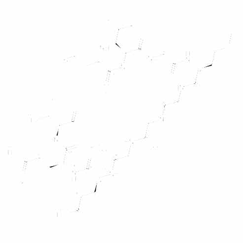 CSCC[C@H](NC(=O)CNC(=O)[C@H](CC(C)C)NC(=O)[C@@H](N)CCSC)C(=O)NCC(=O)NCC(=O)NCC(=O)N[C@@H](CCC(=O)O)C(=O)N[C@@H](CCC(=O)O)C(=O)N[C@H](C(=O)O)[C@@H](C)O